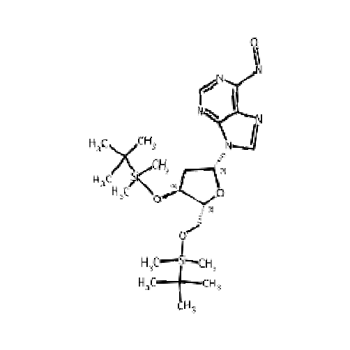 CC(C)(C)[Si](C)(C)OC[C@H]1O[C@@H](n2cnc3c(N=O)ncnc32)C[C@@H]1O[Si](C)(C)C(C)(C)C